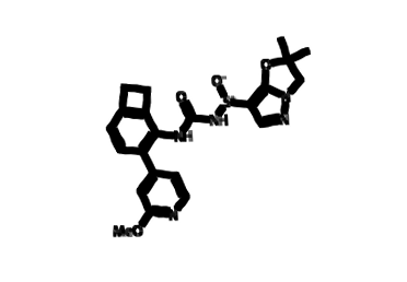 COc1cc(-c2ccc3c(c2NC(=O)N[S+]([O-])c2cnn4c2OC(C)(C)C4)CC3)ccn1